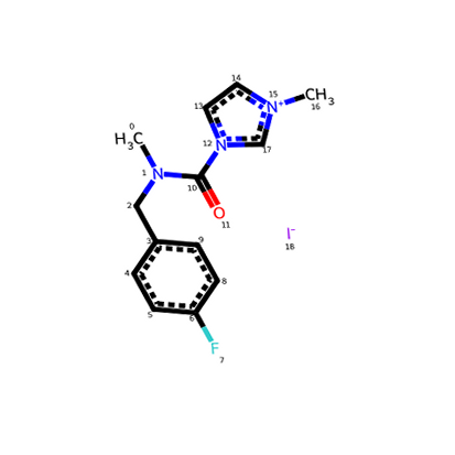 CN(Cc1ccc(F)cc1)C(=O)n1cc[n+](C)c1.[I-]